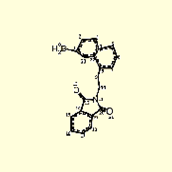 Bc1ccc2cccc(CCN3C(=O)c4ccccc4C3=O)c2c1